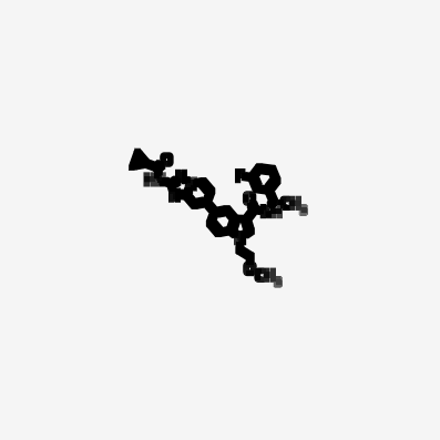 COCCn1cc(C(=O)N[C@@H](C)c2cccc(F)c2)c2cc(-c3ccn4nc(NC(=O)C5CC5)nc4c3)ccc21